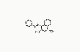 Oc1cc(O)c2ccccc2c1N=Nc1ccccc1